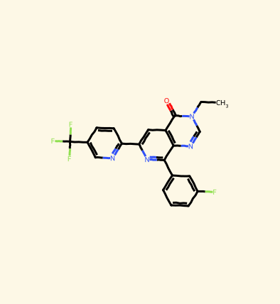 CCn1cnc2c(-c3cccc(F)c3)nc(-c3ccc(C(F)(F)F)cn3)cc2c1=O